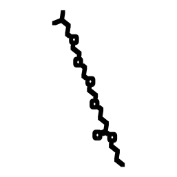 CCCCOC(=O)CCCOCCOCCOCCOCCC(C)C